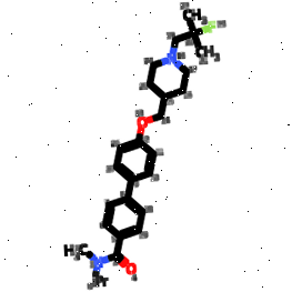 CC(C)N(C)C(=O)c1ccc(-c2ccc(OCC3CCN(CC(C)(C)F)CC3)cc2)cc1